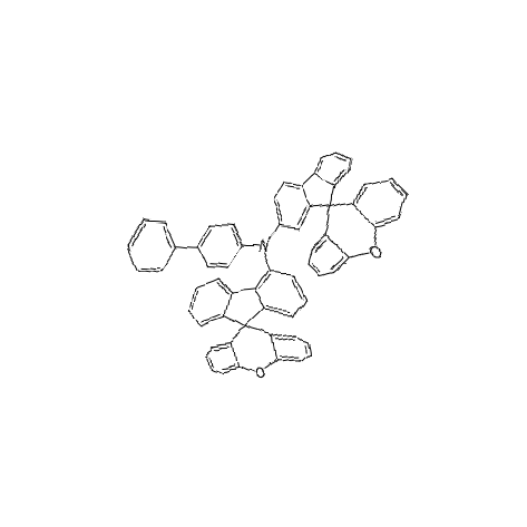 c1ccc(-c2ccc(N(c3ccc4c(c3)C3(c5ccccc5Oc5ccccc53)c3ccccc3-4)c3cccc4c3-c3ccccc3C43c4ccccc4Oc4ccccc43)cc2)cc1